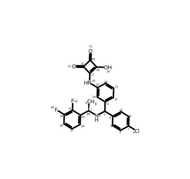 C[C@@H](NC(c1ccc(Cl)cc1)c1cccc(Nc2c(O)c(=O)c2=O)c1)c1cccc(F)c1F